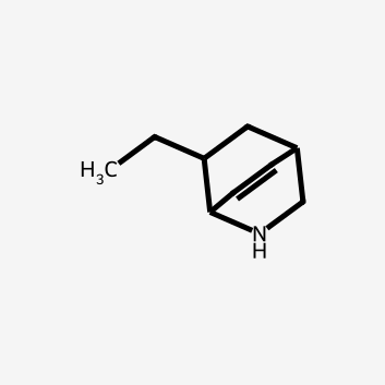 CCC1CC2C=CC1NC2